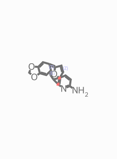 Nc1ccc(OC2=c3/cc4c(c/c3=C\C3CC3/C=C\2)OCO4)cn1